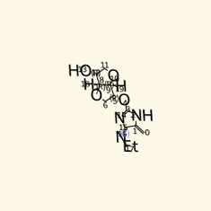 C=C1NC(O[C@@H]2CO[C@H]3[C@@H]2OC[C@H]3O)=N/C1=N/CC